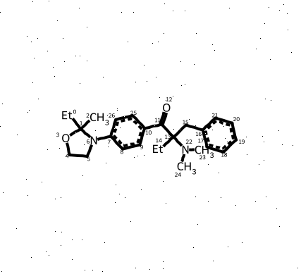 CCC1(C)OCCN1c1ccc(C(=O)C(CC)(Cc2ccccc2)N(C)C)cc1